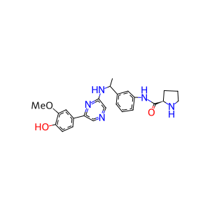 COc1cc(-c2cncc(NC(C)c3cccc(NC(=O)[C@H]4CCCN4)c3)n2)ccc1O